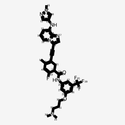 CC1=C(C#Cc2cnc3c(Nc4cnn(C)c4)cccn23)CC(C(=O)Nc2cc(OCCCN(C)C)cc(C(F)(F)F)c2)C(F)=C1